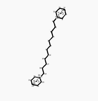 C(CCCCCC[N+]12CCC(CC1)CC2)CCCCC[N+]12CCC(CC1)CC2